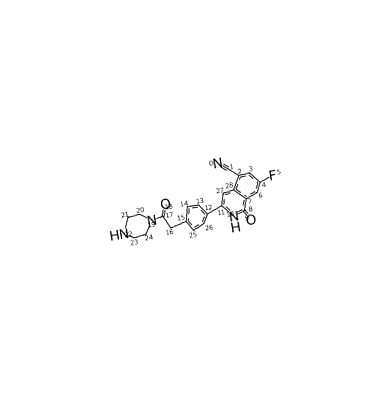 N#Cc1cc(F)cc2c(=O)[nH]c(-c3ccc(CC(=O)N4CCNCC4)cc3)cc12